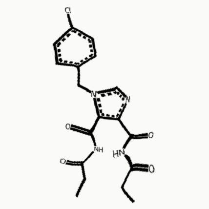 CCC(=O)NC(=O)c1ncn(Cc2ccc(Cl)cc2)c1C(=O)NC(=O)CC